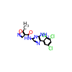 Cc1oncc1C(=O)Nc1cnc(-c2cc(Cl)cc(Cl)c2Cl)c(N)n1